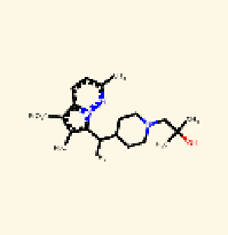 CCOC(=O)c1c(C)c(C(C)C2CCN(CC(C)(C)O)CC2)n2nc(C)ccc12